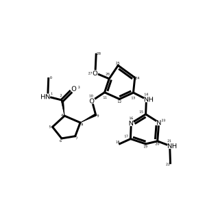 CNC(=O)[C@@H]1CCC[C@@H]1COc1cc(Nc2nc(C)cc(NC)n2)ccc1OC